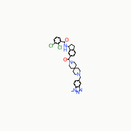 Cn1nnc2cc(CN3CCC4(CC3)CCN(C(=O)c3ccc5c(c3)C(NC(=O)c3cccc(Cl)c3Cl)CC5)CC4)ccc21